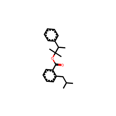 CC(C)Cc1ccccc1C(=O)OC(C)(C)C(C)c1ccccc1